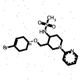 CS(=O)(=O)NC1CCN(c2ccccn2)CC1CO[C@H]1CC=C(Br)CC1